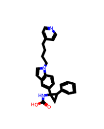 O=C(O)NC1(c2ccc3c(ccn3CCCCc3ccncc3)c2)CC1c1ccccc1